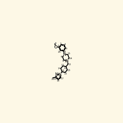 COc1cccc(N2CCN(CC3CCC(n4ccc(C)n4)CC3)CC2)c1